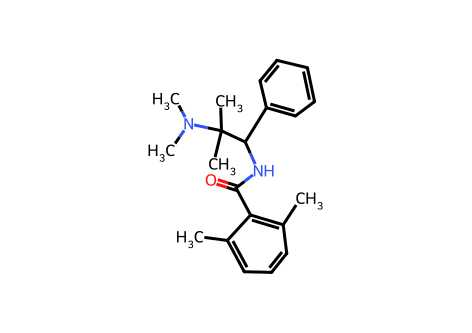 Cc1cccc(C)c1C(=O)NC(c1ccccc1)C(C)(C)N(C)C